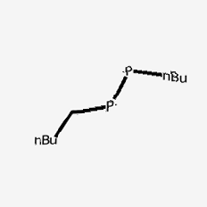 CCCCC[P][P]CCCC